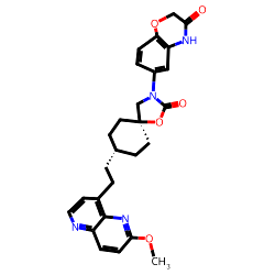 COc1ccc2nccc(CC[C@H]3CC[C@]4(CC3)CN(c3ccc5c(c3)NC(=O)CO5)C(=O)O4)c2n1